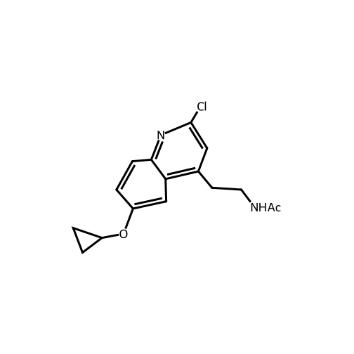 CC(=O)NCCc1cc(Cl)nc2ccc(OC3CC3)cc12